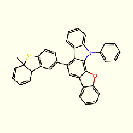 CC12C=CC=CC1c1cc(-c3cc4c5ccccc5oc4c4c3c3ccccc3n4-c3ccccc3)ccc1S2